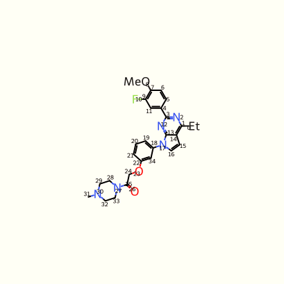 CCc1nc(-c2ccc(OC)c(F)c2)nc2c1ccn2-c1cccc(OCC(=O)N2CCN(C)CC2)c1